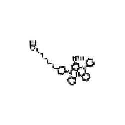 CCOCCCCCCCCc1ccc(N2c3ccccc3B3c4ccccc4N(c4ccccc4)c4cc(C(C)(C)C)cc2c43)cc1